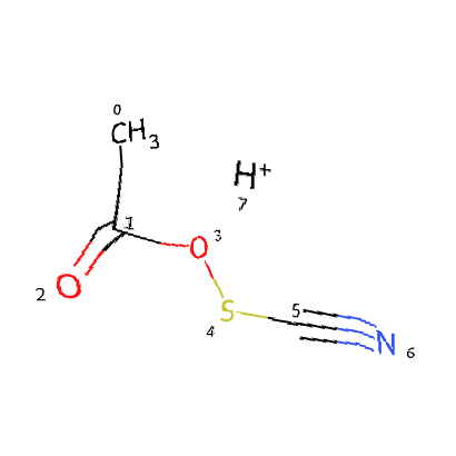 CC(=O)OSC#N.[H+]